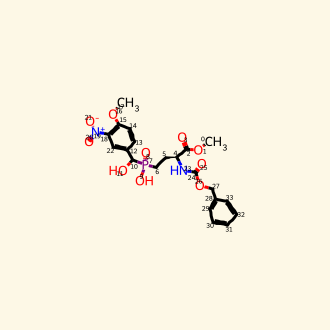 COC(=O)[C@H](CCP(=O)(O)C(O)c1ccc(OC)c([N+](=O)[O-])c1)NC(=O)OCc1ccccc1